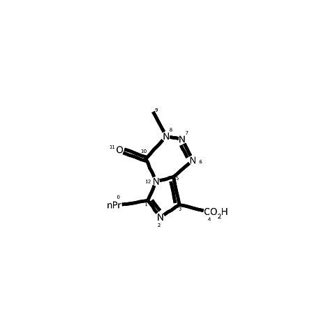 CCCc1nc(C(=O)O)c2nnn(C)c(=O)n12